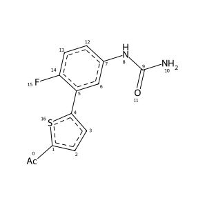 CC(=O)c1ccc(-c2cc(NC(N)=O)ccc2F)s1